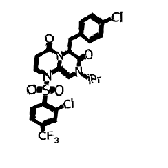 CC(C)N1C=C2N(C(=O)CCN2S(=O)(=O)c2ccc(C(F)(F)F)cc2Cl)C(Cc2ccc(Cl)cc2)C1=O